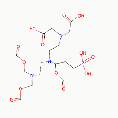 O=COCN(CCN(CCN(CC(=O)O)CC(=O)O)C(CCP(=O)(O)O)OC=O)COC=O